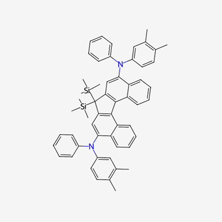 Cc1ccc(N(c2ccccc2)c2cc3c(c4ccccc24)-c2c(cc(N(c4ccccc4)c4ccc(C)c(C)c4)c4ccccc24)C3([Si](C)(C)C)[Si](C)(C)C)cc1C